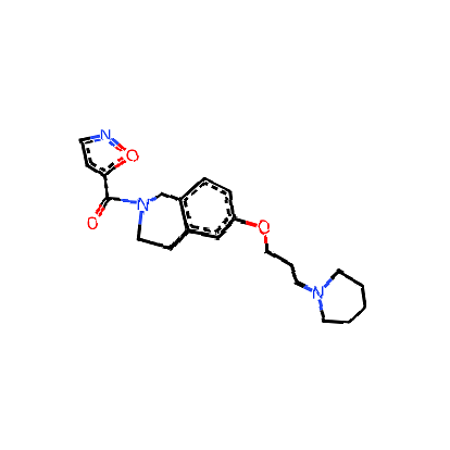 O=C(c1ccno1)N1CCc2cc(OCCCN3CCCCC3)ccc2C1